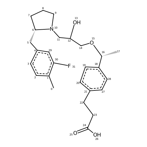 Cc1ccc(C[C@@H]2CCCN2CC(O)CO[C@H](C)c2ccc(CCC(=O)O)cc2)cc1F